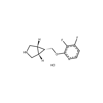 Cl.Fc1ccnc(OC[C@@H]2[C@@H]3CNC[C@@H]32)c1F